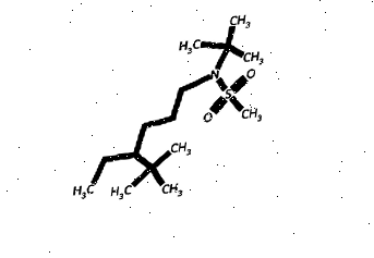 CCC(CCCN(C(C)(C)C)S(C)(=O)=O)C(C)(C)C